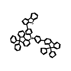 c1ccc(C2(c3ccccc3)c3ccccc3-c3ccc(-c4ccc(N(c5ccc(-c6cccc7c6sc6ccccc67)cc5)c5cccc6c5-c5ccccc5C6(c5ccccc5)c5ccccc5)cc4)cc32)cc1